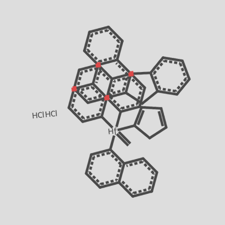 Cl.Cl.[CH2]=[Hf]([C]1=CC=CC1)([c]1cccc2ccccc12)([c]1cccc2ccccc12)[c]1cccc2c1c1c(c3ccccc32)-c2ccccc2C1